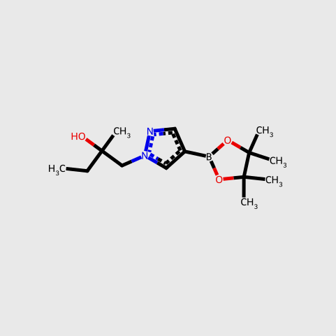 CCC(C)(O)Cn1cc(B2OC(C)(C)C(C)(C)O2)cn1